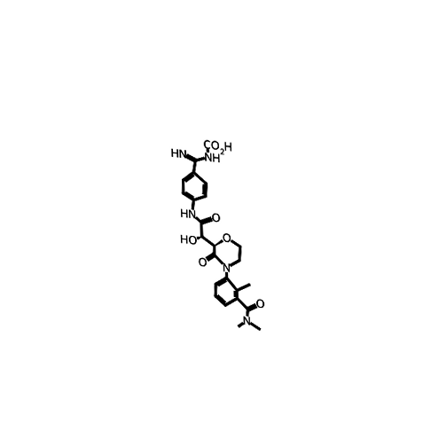 Cc1c(C(=O)N(C)C)cccc1N1CCO[C@H]([C@@H](O)C(=O)Nc2ccc(C(=N)NC(=O)O)cc2)C1=O